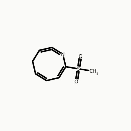 CS(=O)(=O)/C1=C/C=C\CC=C=N1